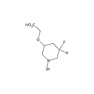 CC(C)N1CC(OCC(=O)O)CC(F)(F)C1